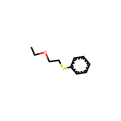 CCOCCSc1ccccc1